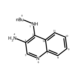 CCCCNc1c(N)cnc2ccccc12